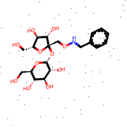 OC[C@H]1O[C@@](CONCc2ccccc2)(O[C@H]2O[C@H](CO)[C@@H](O)[C@H](O)[C@H]2O)[C@@H](O)[C@@H]1O